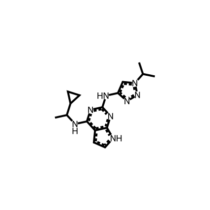 CC(Nc1nc(Nc2cn(C(C)C)nn2)nc2[nH]ccc12)C1CC1